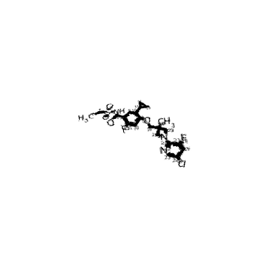 CCS(=O)(=O)NC(=O)c1cc(C2CC2)c(OCC2(C)CN(c3ncc(Cl)cc3F)C2)cc1F